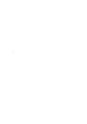 C=CC(=O)OCC(O)C(=O)OC(C)CCCCCC